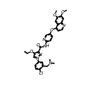 CCOc1cn(-c2ccc(Cl)c(CN(C)C)c2)nc1C(=O)Nc1ccc(Oc2ccnc3cc(OC)c(OC)cc23)cn1